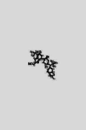 [2H]C([2H])([2H])C(c1ccc2nc(C)sc2c1)N1C[C@H](CC)N(c2cc(=O)n(C([2H])([2H])[2H])n3cc(CC#N)nc23)C[C@H]1CC